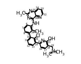 Cc1nc(Nc2cccc(-c3cccc(-c4ccc(CN(C)C)c(O)n4)c3Cl)c2C)c2ncccc2n1